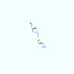 CC=CCC1=C(C)NC(CCSC2(C)CC=C(CN(C)C)O2)N=C1